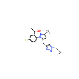 C[C@@H](O)c1cc(F)ccc1-n1nc(C(F)(F)F)cc1Cc1cn(CC2CC2)nn1